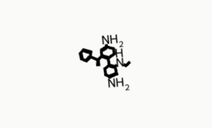 C=C(C1=C(C2=C(NCC)C=C(N)CC2)CCC(N)=C1)c1ccccc1